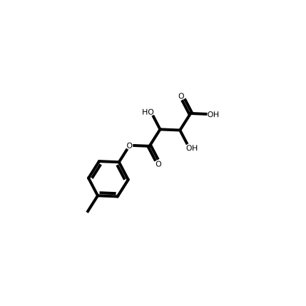 Cc1ccc(OC(=O)C(O)C(O)C(=O)O)cc1